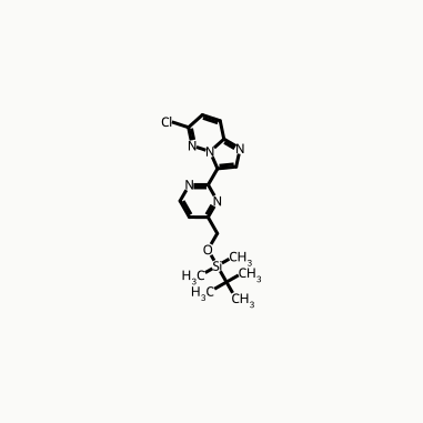 CC(C)(C)[Si](C)(C)OCc1ccnc(-c2cnc3ccc(Cl)nn23)n1